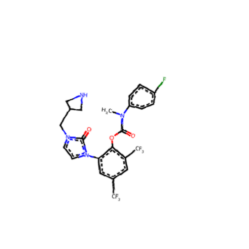 CN(C(=O)Oc1c(-n2ccn(CC3CNC3)c2=O)cc(C(F)(F)F)cc1C(F)(F)F)c1ccc(F)cc1